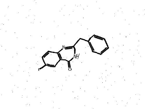 O=c1[nH]c(Cc2ccccc2)nc2ccc(I)cc12